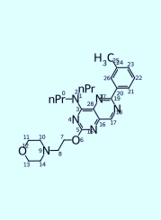 CCCN(CCC)c1nc(OCCN2CCOCC2)nc2cnc(-c3cccc(C)c3)nc12